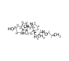 C=CCO/N=C(\C)[C@H]1CC[C@H]2C3=CC=C4C[C@@H](O)CC[C@]4(C)[C@H]3CC[C@]12C